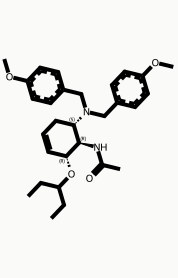 CCC(CC)O[C@@H]1C=CC[C@H](N(Cc2ccc(OC)cc2)Cc2ccc(OC)cc2)[C@H]1NC(C)=O